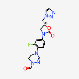 O=CN1CCN(c2ccc(N3C[C@H](Cn4ccnn4)OC3=O)cc2F)C=N1